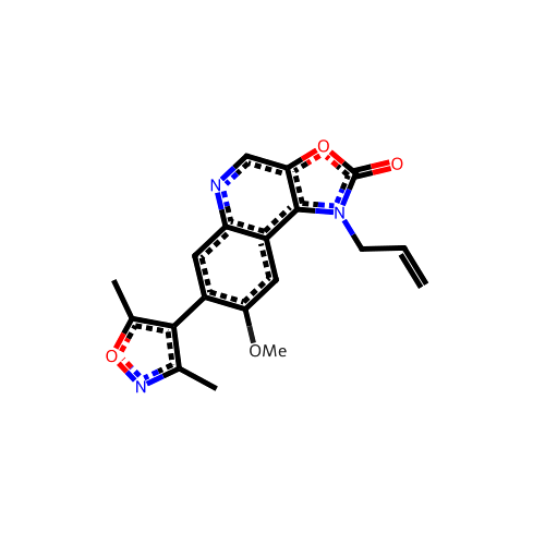 C=CCn1c(=O)oc2cnc3cc(-c4c(C)noc4C)c(OC)cc3c21